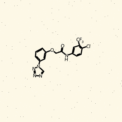 O=C(COc1cccc(-n2cnnn2)c1)Nc1ccc(Cl)c(C(F)(F)F)c1